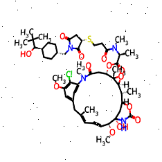 COc1cc2cc(c1Cl)N(C)C(=O)C[C@H](OC(=O)[C@H](C)N(C)C(=O)CCS[C@H]1CC(=O)N(C[C@H]3CC[C@H](C(O)C(C)(C)C)CC3)C1=O)[C@]1(C)O[C@H]1[C@H](C)[C@@H]1C[C@@](O)(NC(=O)O1)[C@H](OC)/C=C/C=C(\C)C2